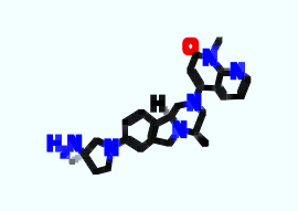 C[C@@H]1CN(c2cc(=O)n(C)c3ncccc23)C[C@@H]2c3ccc(N4CC[C@@](C)(N)C4)cc3CN12